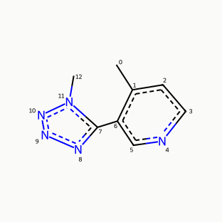 Cc1ccncc1-c1nnnn1C